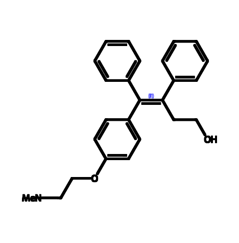 CNCCOc1ccc(/C(=C(\CCO)c2ccccc2)c2ccccc2)cc1